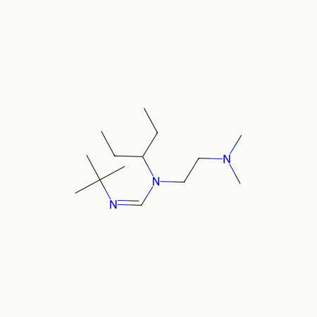 CCC(CC)N(/C=N\C(C)(C)C)CCN(C)C